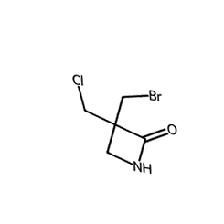 O=C1NCC1(CCl)CBr